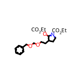 CCOC(=O)OC1C(CCOCOCc2ccccc2)CCN1C(=O)OCC